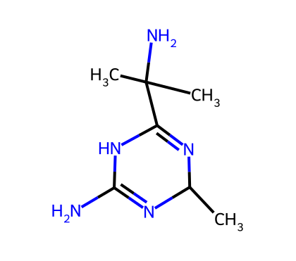 CC1N=C(N)NC(C(C)(C)N)=N1